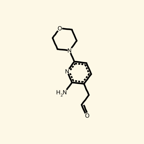 Nc1nc(N2CCOCC2)ccc1CC=O